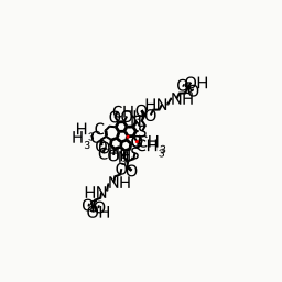 COc1c(O)c2c3c(c(OC)c4c5c(OC)c6c(c7c(O)c(OC)c8c(c(c1CC(C)=C8C(C)=O)c24)c75)=NC(C(=O)OCCNCCNCCS(=O)(=O)O)CS6)SCC(C(=O)OCCNCCNCCS(=O)(=O)O)N=3